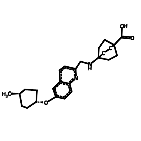 C[C@H]1CC[C@H](Oc2ccc3nc(CNC45CCC(C(=O)O)(CC4)CC5)ccc3c2)CC1